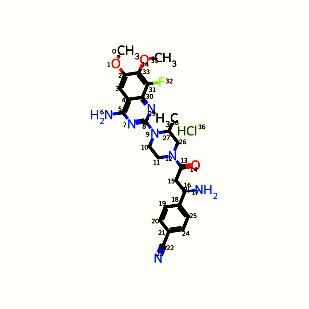 COc1cc2c(N)nc(N3CCN(C(=O)C[C@@H](N)c4ccc(C#N)cc4)CC3C)nc2c(F)c1OC.Cl